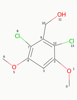 COc1cc(OC)c(Cl)c(CO)c1Cl